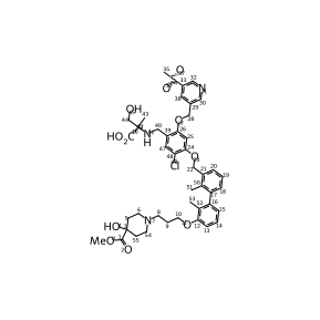 COC(=O)C1(O)CCN(CCCOc2cccc(-c3cccc(COc4cc(OCc5cncc(S(C)(=O)=O)c5)c(CN[C@@](C)(CO)C(=O)O)cc4Cl)c3C)c2C)CC1